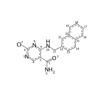 NC(=O)c1cnc(Cl)nc1NCc1ccc2ccccc2c1